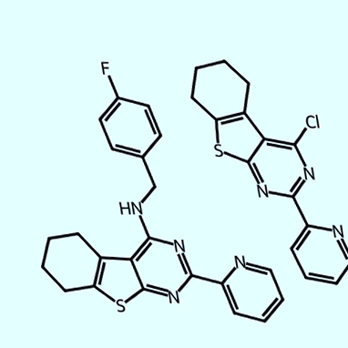 Clc1nc(-c2ccccn2)nc2sc3c(c12)CCCC3.Fc1ccc(CNc2nc(-c3ccccn3)nc3sc4c(c23)CCCC4)cc1